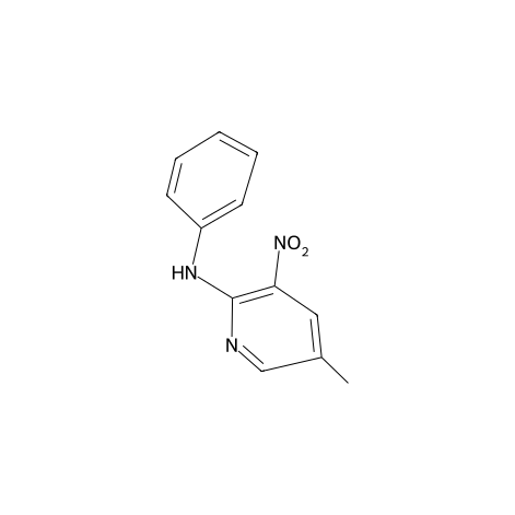 Cc1cnc(Nc2ccccc2)c([N+](=O)[O-])c1